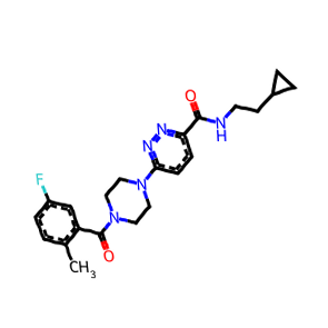 Cc1ccc(F)cc1C(=O)N1CCN(c2ccc(C(=O)NCCC3CC3)nn2)CC1